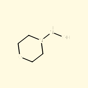 ONN1CCOCC1